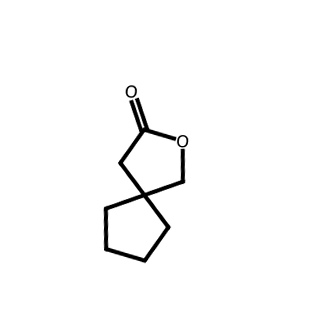 O=C1CC2(CCCC2)CO1